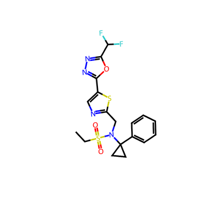 CCS(=O)(=O)N(Cc1ncc(-c2nnc(C(F)F)o2)s1)C1(c2ccccc2)CC1